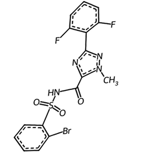 Cn1nc(-c2c(F)cccc2F)nc1C(=O)NS(=O)(=O)c1ccccc1Br